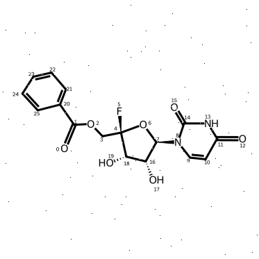 O=C(OC[C@]1(F)O[C@@H](n2ccc(=O)[nH]c2=O)[C@H](O)[C@@H]1O)c1ccccc1